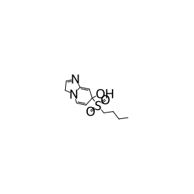 CCCCS(=O)(=O)C1(O)C=CN2CC=NC2=C1